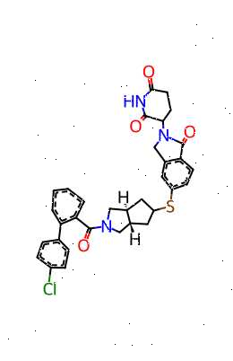 O=C1CCC(N2Cc3cc(SC4C[C@@H]5CN(C(=O)c6ccccc6-c6ccc(Cl)cc6)C[C@H]5C4)ccc3C2=O)C(=O)N1